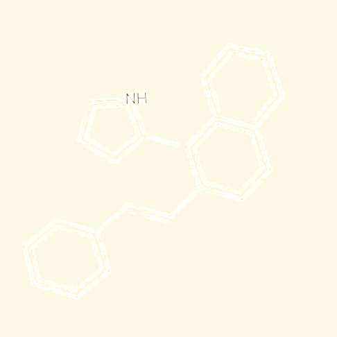 C(=Cc1ccc2ccccc2c1-c1ccc[nH]1)c1ccccc1